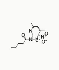 CCCCC(=O)NC1N=C(C)C=C(C)C1(Br)[N+](=O)[O-]